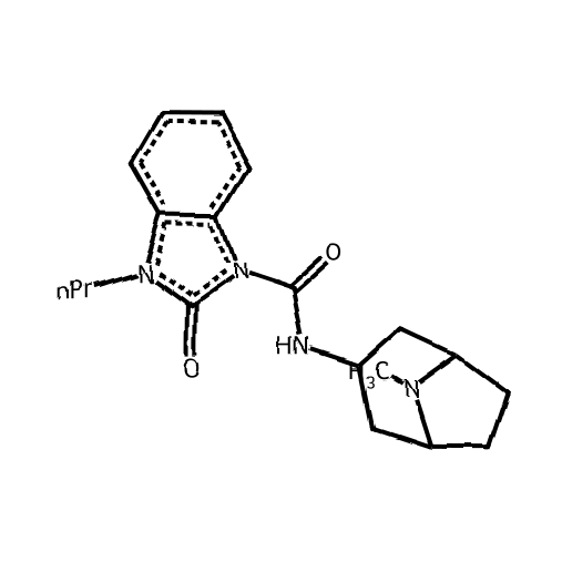 CCCn1c(=O)n(C(=O)NC2CC3CCC(C2)N3C)c2ccccc21